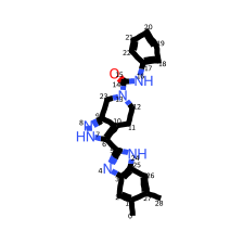 Cc1cc2nc(-c3[nH]nc4c3CCN(C(=O)Nc3ccccc3)C4)[nH]c2cc1C